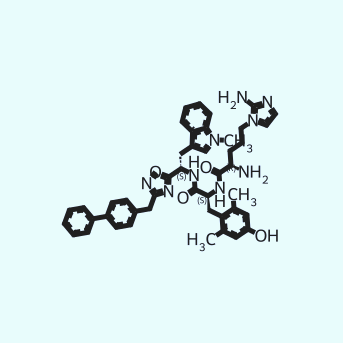 Cc1cc(O)cc(C)c1C[C@H](NC(=O)[C@H](N)CCCn1ccnc1N)C(=O)N[C@@H](Cc1cn(C)c2ccccc12)c1nc(Cc2ccc(-c3ccccc3)cc2)no1